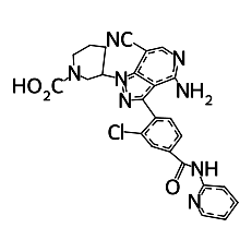 N#Cc1cnc(N)c2c(-c3ccc(C(=O)Nc4ccccn4)cc3Cl)nn(C3CCCN(C(=O)O)C3)c12